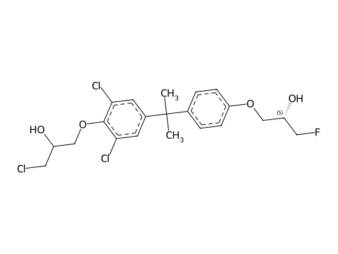 CC(C)(c1ccc(OC[C@H](O)CF)cc1)c1cc(Cl)c(OCC(O)CCl)c(Cl)c1